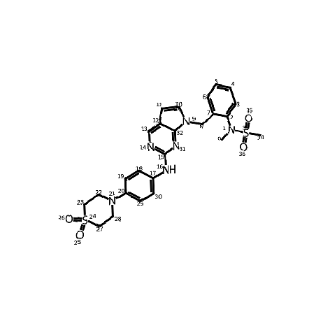 CN(c1ccccc1Cn1ccc2cnc(Nc3ccc(N4CCS(=O)(=O)CC4)cc3)nc21)S(C)(=O)=O